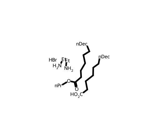 Br.CCCCCCCCCCCCCCCC(=O)O.CCCCCCCCCCCCCCCC(=O)OCCC.CCN.CCN